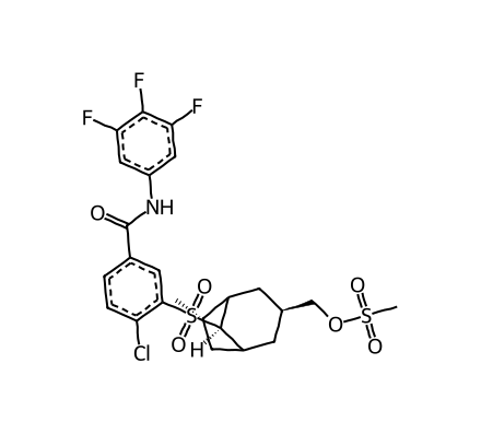 C[C@H]1CC2C[C@H](COS(C)(=O)=O)CC1[C@@H]2S(=O)(=O)c1cc(C(=O)Nc2cc(F)c(F)c(F)c2)ccc1Cl